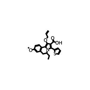 C=CCOc1c(C(=O)O)c(-c2cccs2)n2c1-c1ccc(OC)cc1CC2CC